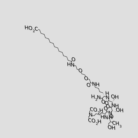 C[C@@H](CO)C(=O)N[C@@H](CCCCN(CC(=O)O)CC(=O)O)C(=O)N[C@@H](CO)C(=O)N[C@@H](CO)C(=O)N[C@@H](CCCCNC(=O)COCCOCCNC(=O)CCCCCCCCCCCCCCC(=O)O)C(N)=O